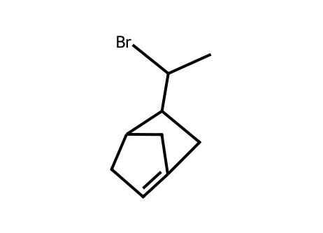 CC(Br)C1CC2=CCC1C2